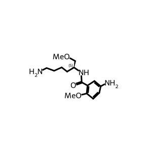 COC[C@H](CCCCN)NC(=O)c1cc(N)ccc1OC